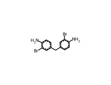 Nc1ccc(Cc2ccc(N)c(Br)c2)cc1Br